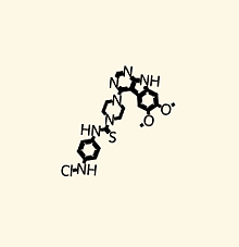 COc1cc2[nH]c3ncnc(N4CCN(C(=S)Nc5ccc(NCl)cc5)CC4)c3c2cc1OC